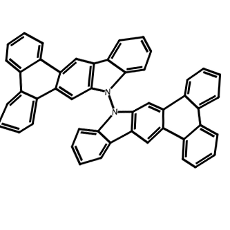 c1ccc2c(c1)c1ccccc1c1cc3c(cc21)c1ccccc1n3-n1c2ccccc2c2cc3c4ccccc4c4ccccc4c3cc21